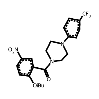 CC(C)COc1ccc([N+](=O)[O-])cc1C(=O)N1CCN(c2ccc(C(F)(F)F)cc2)CC1